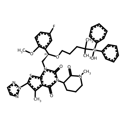 COc1ccc(F)cc1[C@H](Cn1c(=O)n(C2CCCN(C)C2=O)c(=O)c2c(C)c(-n3nccn3)sc21)OCCCC(C)(C)[Si](O)(c1ccccc1)c1ccccc1